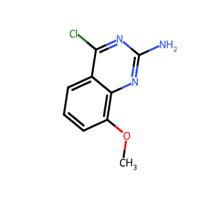 COc1cccc2c(Cl)nc(N)nc12